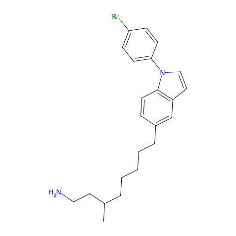 CC(CCN)CCCCCc1ccc2c(ccn2-c2ccc(Br)cc2)c1